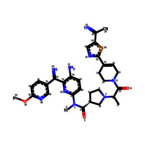 CCN(C(=O)[C@@H]1CCN(C(C)C(=O)N2CC=C(c3ncc(C(=N)C#N)s3)CC2)C1)c1ccc(N)c(C(=N)c2ccc(OC(C)C)nc2)n1